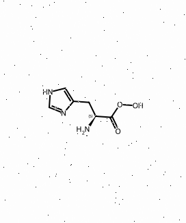 N[C@@H](Cc1c[nH]cn1)C(=O)OO